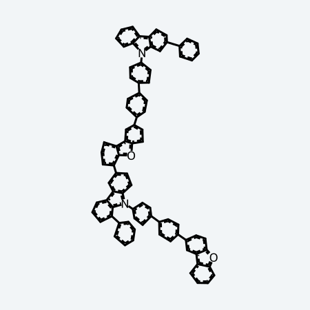 c1ccc(-c2ccc3c4ccccc4n(-c4ccc(-c5ccc(-c6ccc7oc8c(-c9ccc%10c(c9)c9cccc(-c%11ccccc%11)c9n%10-c9ccc(-c%10ccc(-c%11ccc%12oc%13ccccc%13c%12c%11)cc%10)cc9)cccc8c7c6)cc5)cc4)c3c2)cc1